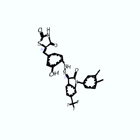 Cc1ccc(N2C(=O)/C(=N\Nc3ccc(/C=C4/SC(=O)NC4=O)cc3O)c3ccc(C(F)(F)F)cc32)cc1C